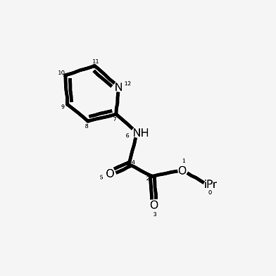 CC(C)OC(=O)C(=O)Nc1ccccn1